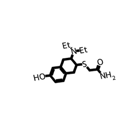 CCN(CC)C1Cc2cc(O)ccc2CC1SCC(N)=O